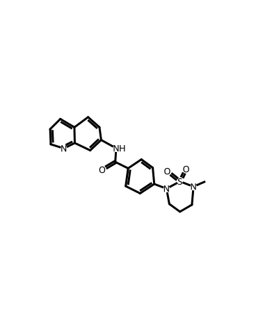 CN1CCCN(c2ccc(C(=O)Nc3ccc4cccnc4c3)cc2)S1(=O)=O